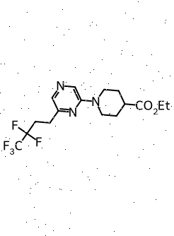 CCOC(=O)C1CCN(c2cncc(CCC(F)(F)C(F)(F)F)n2)CC1